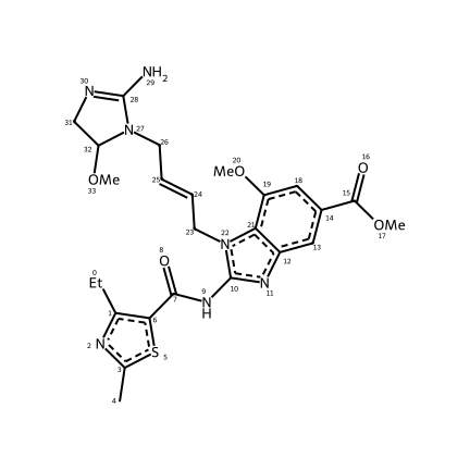 CCc1nc(C)sc1C(=O)Nc1nc2cc(C(=O)OC)cc(OC)c2n1C/C=C/CN1C(N)=NCC1OC